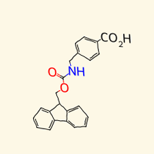 O=C(NCc1ccc(C(=O)O)cc1)OCC1c2ccccc2-c2ccccc21